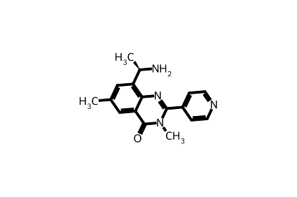 Cc1cc([C@@H](C)N)c2nc(-c3ccncc3)n(C)c(=O)c2c1